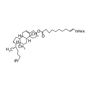 CCCCCCC=CCCCCCCCC(=O)O[C@H]1CC[C@@]2(C)C(=CC[C@H]3[C@@H]4CC[C@H]([C@H](C)CCCC(C)C)[C@@]4(C)CC[C@@H]32)C1